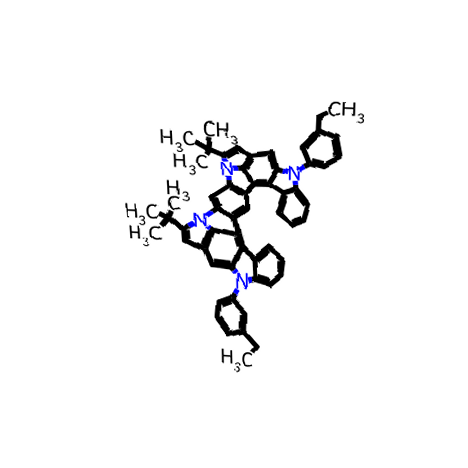 CCc1cccc(-n2c3ccccc3c3c4c5cc6c7c8c9ccccc9n(-c9cccc(CC)c9)c8cc8cc(C(C)(C)C)n(c6cc5n5c(C(C)(C)C)cc(cc32)c45)c87)c1